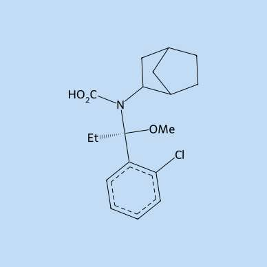 CC[C@](OC)(c1ccccc1Cl)N(C(=O)O)C1CC2CCC1C2